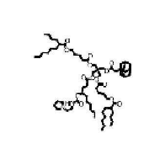 CCCCCCC(CCC(=O)OCC(COC(=O)CCCCOC(=O)C(CCCC)CCCCCC)(COC(=O)CCCCOC(=O)C(CCCC)CCCCCC)COC(=O)CC12CC3CC(CC(C3)C1)C2)OC(=O)NCCN1CCCC1